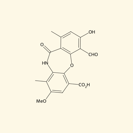 COc1cc(C(=O)O)c2c(c1C)NC(=O)c1c(C)cc(O)c(C=O)c1O2